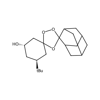 CC(C)(C)[C@H]1C[C@H](O)CC2(C1)OOC1(O2)C2CC3CC(C2)CC1C3